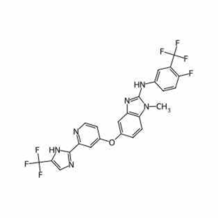 Cn1c(Nc2ccc(F)c(C(F)(F)F)c2)nc2cc(Oc3ccnc(-c4ncc(C(F)(F)F)[nH]4)c3)ccc21